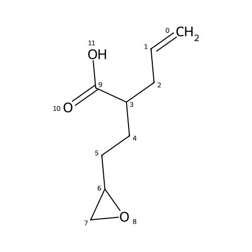 C=CCC(CCC1CO1)C(=O)O